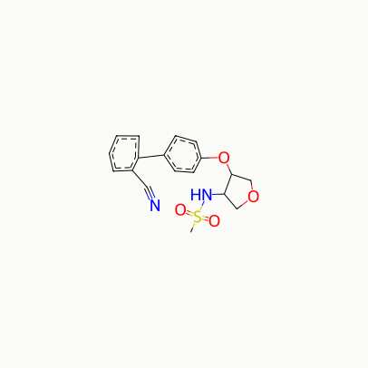 CS(=O)(=O)NC1COCC1Oc1ccc(-c2ccccc2C#N)cc1